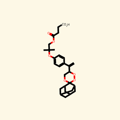 C=C(c1ccc(OC(C)(C)COC(=O)CCC(=O)O)cc1)C1COC2(OO1)C1CC3CC(C1)CC2C3